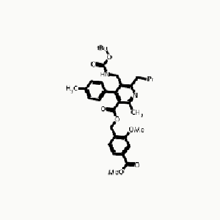 COC(=O)c1ccc(COC(=O)c2c(C)nc(CC(C)C)c(CNC(=O)OC(C)(C)C)c2-c2ccc(C)cc2)c(OC)c1